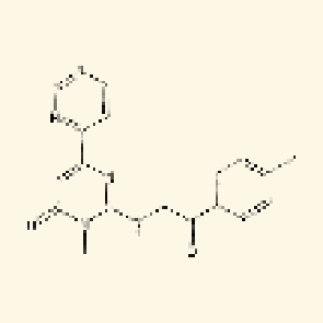 Cc1ccc(C(=O)CNc2nc(-c3ccncn3)cc(=O)n2C)cc1